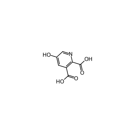 O=C(O)c1cc(O)cnc1C(=O)O